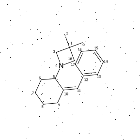 CC1(C)CN(C2CCCC/C2=C/c2ccccc2)C1